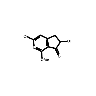 COc1nc(Cl)cc2c1C(=O)C(O)C2